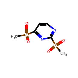 CS(=O)(=O)c1[c]cnc(S(C)(=O)=O)n1